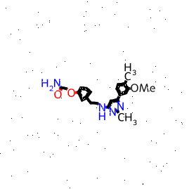 COc1cc(-c2cc(NCCc3cccc(OCC(N)=O)c3)nc(C)n2)ccc1C